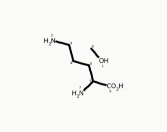 CO.NCCCC(N)C(=O)O